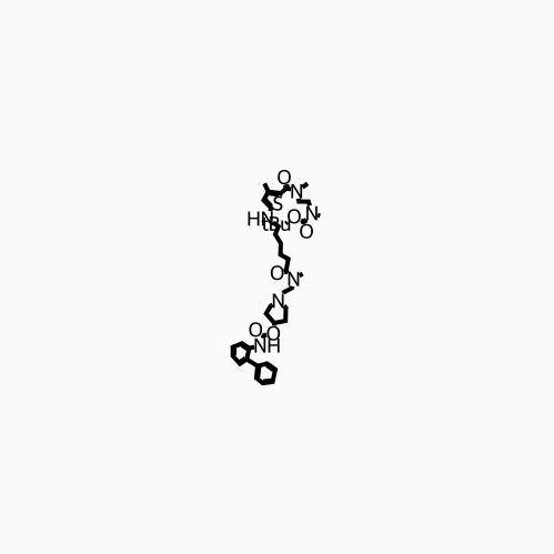 Cc1cc(NCCCCCC(=O)N(C)CCN2CCC(OC(=O)Nc3ccccc3-c3ccccc3)CC2)sc1C(=O)N(C)CCN(C)C(=O)OC(C)(C)C